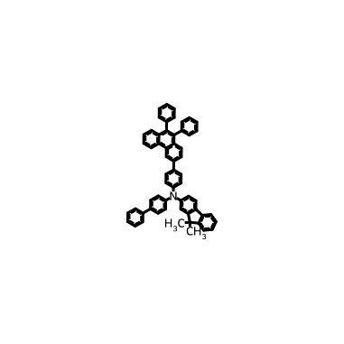 CC1(C)c2ccccc2-c2ccc(N(c3ccc(-c4ccccc4)cc3)c3ccc(-c4ccc5c(-c6ccccc6)c(-c6ccccc6)c6ccccc6c5c4)cc3)cc21